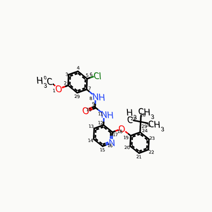 COc1ccc(Cl)c(NC(=O)Nc2cccnc2Oc2ccccc2C(C)(C)C)c1